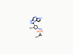 CCC1CC1S(=O)(=O)N[C@H]1C[C@@H](CC)[C@@H](c2nnc3cnc4[nH]ccc4n23)C1